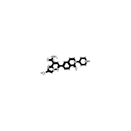 Cc1cn2nc(-c3ccc4c(=O)n(C5CCNCC5)ccc4c3)cc(C(N)=O)c2n1